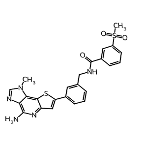 Cn1cnc2c(N)nc3cc(-c4cccc(CNC(=O)c5cccc(S(C)(=O)=O)c5)c4)sc3c21